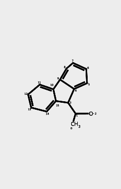 CC([O])C1c2ccccc2-c2ccccc21